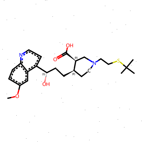 COc1ccc2nccc([C@@H](O)CC[C@@H]3CCN(CCSC(C)(C)C)C[C@@H]3C(=O)O)c2c1